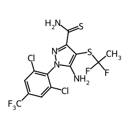 CC(F)(F)Sc1c(C(N)=S)nn(-c2c(Cl)cc(C(F)(F)F)cc2Cl)c1N